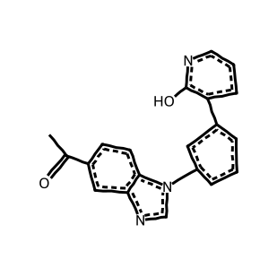 CC(=O)c1ccc2c(c1)ncn2-c1cccc(-c2cccnc2O)c1